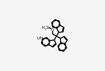 [LiH].[SiH3]OCC(C1C=Cc2ccccc21)(C1C=Cc2ccccc21)C1C=Cc2ccccc21